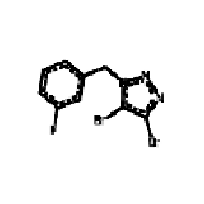 Fc1cccc(Cn2nnc(Br)c2Br)c1